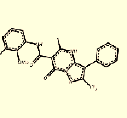 COc1c(C)cccc1NC(=O)c1c(C)[nH]c2c(-c3ccccc3)c(C(F)(F)F)nn2c1=O